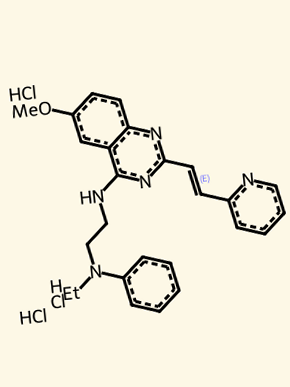 CCN(CCNc1nc(/C=C/c2ccccn2)nc2ccc(OC)cc12)c1ccccc1.Cl.Cl.Cl